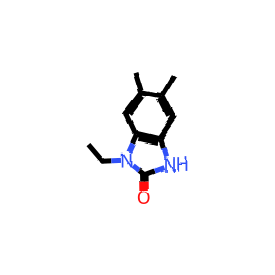 CCn1c(=O)[nH]c2cc(C)c(C)cc21